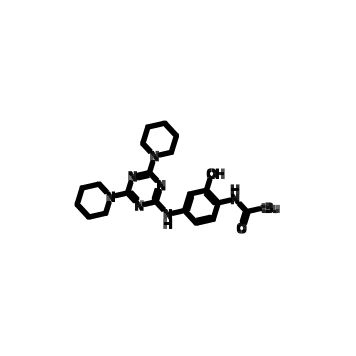 CC(C)(C)C(=O)Nc1ccc(Nc2nc(N3CCCCC3)nc(N3CCCCC3)n2)cc1O